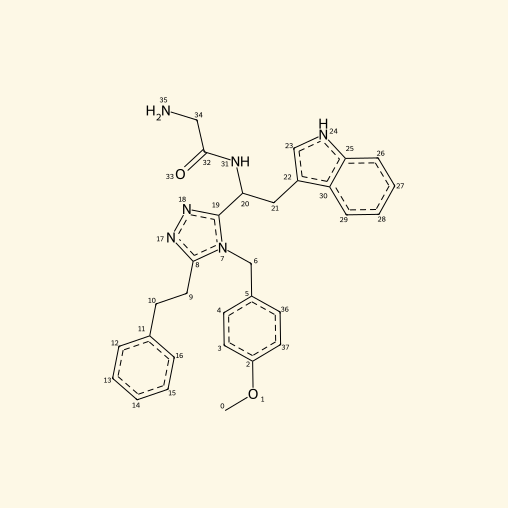 COc1ccc(Cn2c(CCc3ccccc3)nnc2C(Cc2c[nH]c3ccccc23)NC(=O)CN)cc1